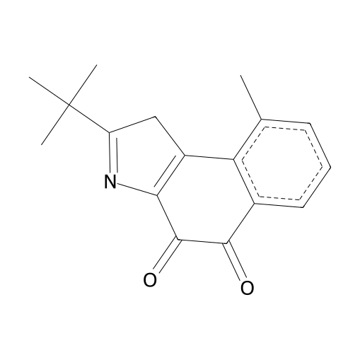 Cc1cccc2c1C1=C(N=C(C(C)(C)C)C1)C(=O)C2=O